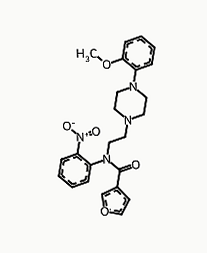 COc1ccccc1N1CCN(CCN(C(=O)c2ccoc2)c2ccccc2[N+](=O)[O-])CC1